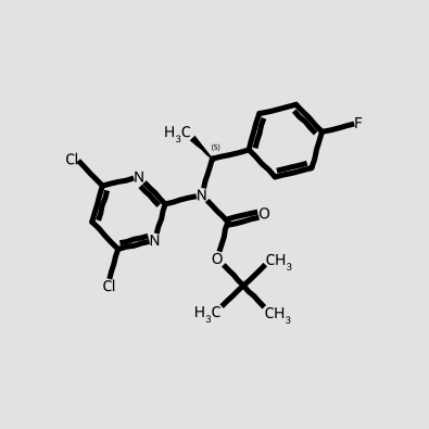 C[C@@H](c1ccc(F)cc1)N(C(=O)OC(C)(C)C)c1nc(Cl)cc(Cl)n1